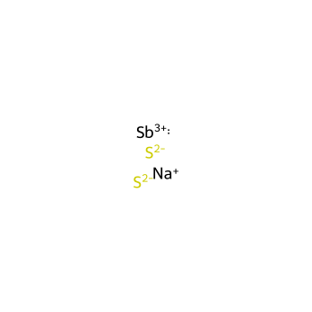 [Na+].[S-2].[S-2].[Sb+3]